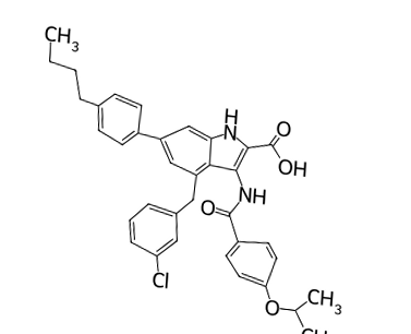 CCCCc1ccc(-c2cc(Cc3cccc(Cl)c3)c3c(NC(=O)c4ccc(OC(C)C)cc4)c(C(=O)O)[nH]c3c2)cc1